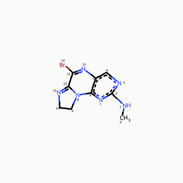 CNc1ncc2c(n1)N1CCN=C1C(Br)=N2